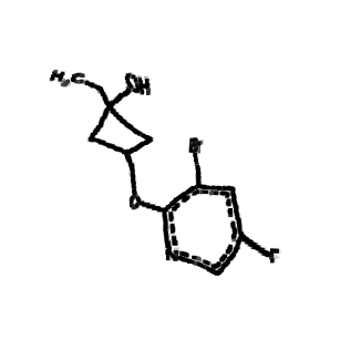 CC1(O)CC(Oc2ncc(F)cc2Br)C1